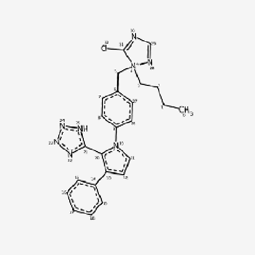 CCCC[N+]1(Cc2ccc(-n3ccc(-c4ccccc4)c3-c3nnn[nH]3)cc2)N=CN=C1Cl